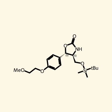 COCCOc1ccc([C@@H]2OC(=O)N[C@H]2CO[Si](C)(C)C(C)(C)C)cc1